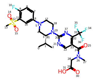 CC(C)[C@@H]1CN(c2ccc(F)c(S(C)(=O)=O)c2)CCN1c1ncc(C(=O)N(C)CC(=O)O)c(C(F)(F)F)n1